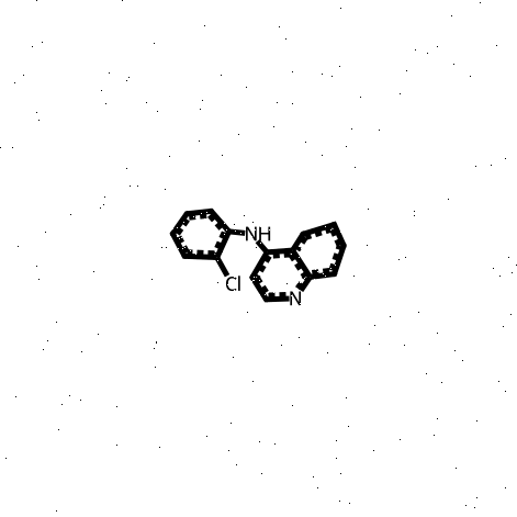 Clc1ccccc1Nc1ccnc2ccccc12